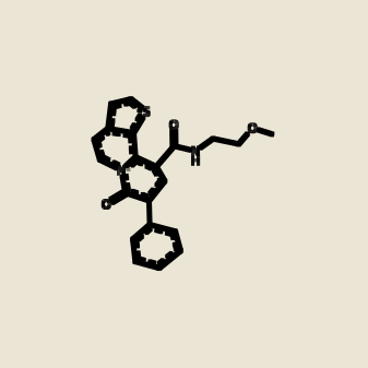 COCCNC(=O)c1cc(-c2ccccc2)c(=O)n2ccc3ccsc3c12